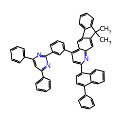 CC1(C)c2ccccc2-c2cc3c(-c4cccc(-c5nc(-c6ccccc6)cc(-c6ccccc6)n5)c4)cc(-c4ccc(-c5ccccc5)c5ccccc45)nc3cc21